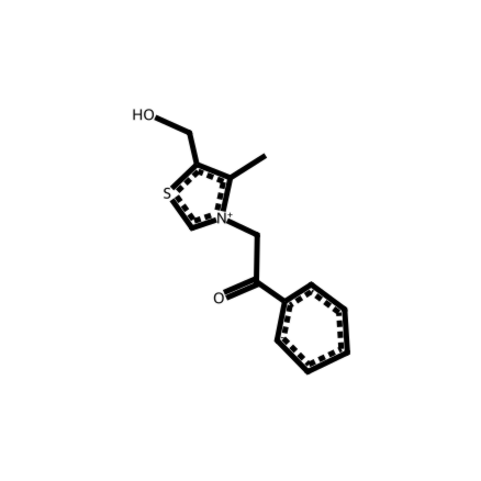 Cc1c(CO)sc[n+]1CC(=O)c1ccccc1